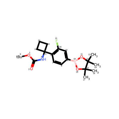 CC(C)(C)OC(=O)NC1(c2ccc(B3OC(C)(C)C(C)(C)O3)cc2F)CCC1